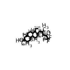 C[C@H](CC(=O)C(F)(F)F)[C@H]1CC[C@H]2C3CC[C@H]4C[C@@](C)(O)CC[C@]4(C)C3CC[C@]12C